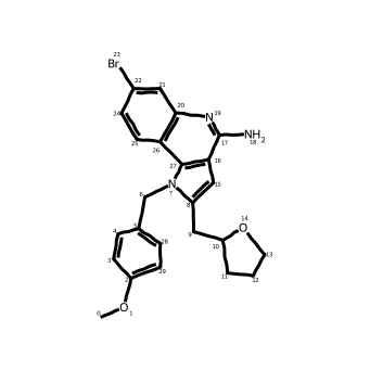 COc1ccc(Cn2c(CC3CCCO3)cc3c(N)nc4cc(Br)ccc4c32)cc1